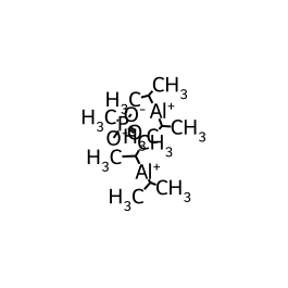 CP(=O)([O-])[O-].C[CH](C)[Al+][CH](C)C.C[CH](C)[Al+][CH](C)C